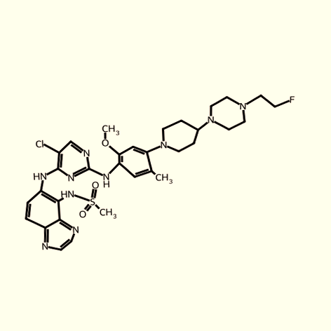 COc1cc(N2CCC(N3CCN(CCF)CC3)CC2)c(C)cc1Nc1ncc(Cl)c(Nc2ccc3nccnc3c2NS(C)(=O)=O)n1